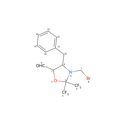 O=CC1OC(C(F)(F)F)(C(F)(F)F)N(CBr)C1Cc1ccccc1